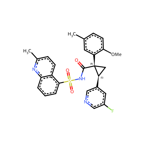 COc1ccc(C)cc1[C@@]1(C(=O)NS(=O)(=O)c2cccc3nc(C)ccc23)C[C@H]1c1cncc(F)c1